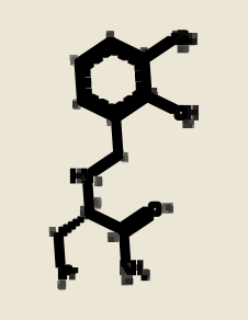 CC(C)C[C@H](NCc1cccc(C(C)(C)C)c1O)C(N)=O